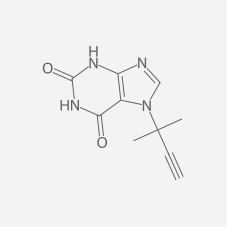 C#CC(C)(C)n1cnc2[nH]c(=O)[nH]c(=O)c21